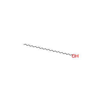 CCCCCCCCCCCCCCCCCCCCCCCCCCCCCCO